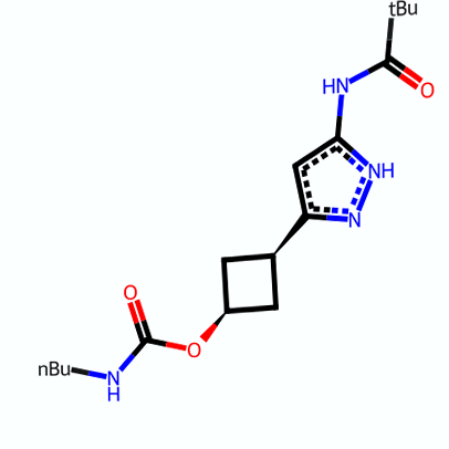 CCCCNC(=O)O[C@H]1C[C@@H](c2cc(NC(=O)C(C)(C)C)[nH]n2)C1